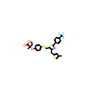 CCC(C)(Oc1ccc(SCc2sc(-c3ccc(C(F)(F)F)cc3)nc2Cc2cc(C)cs2)cc1)C(=O)O